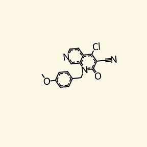 COc1ccc(Cn2c(=O)c(C#N)c(Cl)c3ccncc32)cc1